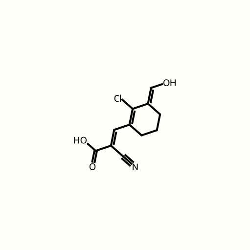 N#C/C(=C\C1=C(Cl)C(=C/O)/CCC1)C(=O)O